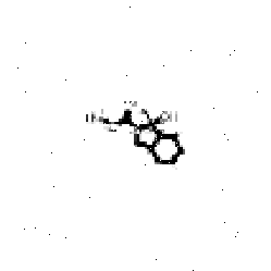 CC(C)(C)OC(=O)N1CC2CCCCC2[C@@]1(C)O